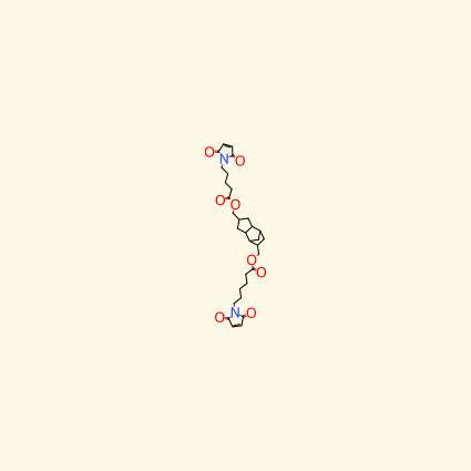 O=C(CCCCN1C(=O)C=CC1=O)OCC1CC2C3CC(COC(=O)CCCCCN4C(=O)C=CC4=O)C(C3)C2C1